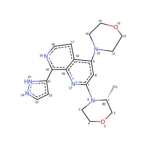 C[C@@H]1COCCN1c1cc(N2CCOCC2)c2ccnc(-c3ccn[nH]3)c2n1